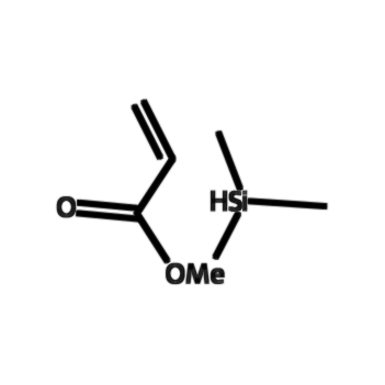 C=CC(=O)OC.C[SiH](C)C